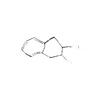 CC1Cc2ccccc2CC1C